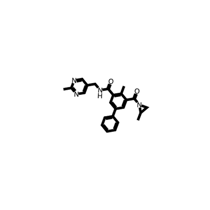 Cc1ncc(CNC(=O)c2cc(-c3ccccc3)cc(C(=O)N3CC3C)c2C)cn1